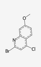 COc1ccc2c(Cl)cc(Br)nc2c1